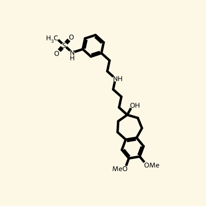 COc1cc2c(cc1OC)CCC(O)(CCCNCCc1cccc(NS(C)(=O)=O)c1)CC2